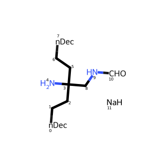 CCCCCCCCCCCCC(N)(CCCCCCCCCCCC)CNC=O.[NaH]